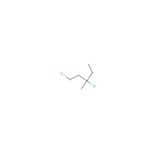 CCC(C)(F)C[CH]F